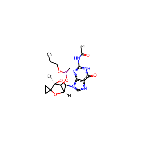 CC[C@@]12O[C@@H](n3cnc4c(=O)[nH]c(NC(=O)C(C)C)nc43)[C@@H](OC13CC3)C2OP(C)OCCC#N